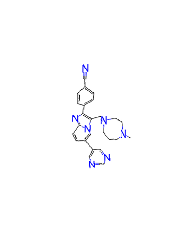 CN1CCCN(Cc2c(-c3ccc(C#N)cc3)nc3ccc(-c4cncnc4)cn23)CC1